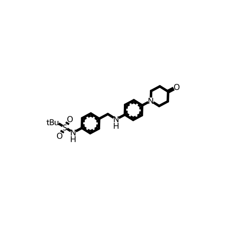 CC(C)(C)S(=O)(=O)Nc1ccc(CNc2ccc(N3CCC(=O)CC3)cc2)cc1